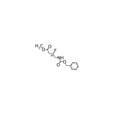 COC(=O)C[C@@H](F)CNC(=O)OCc1ccccc1